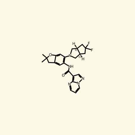 CC1(C)Cc2cc(NC(=O)c3cnn4cccnc34)c(N3C[C@@H]4CC(F)(F)C[C@@H]4C3)cc2O1